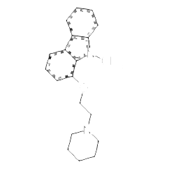 Cn1c2ccccc2c2cccc(OCCN3CCCCC3)c21